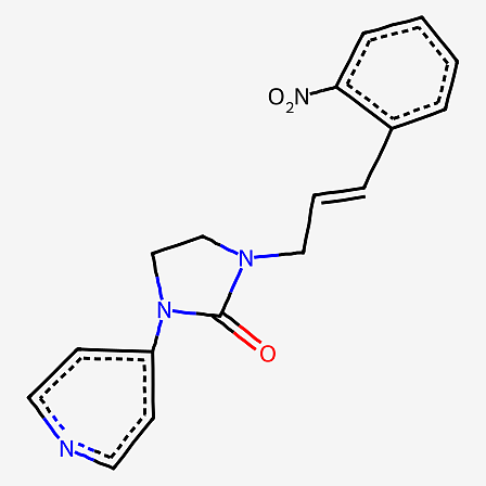 O=C1N(CC=Cc2ccccc2[N+](=O)[O-])CCN1c1ccncc1